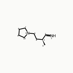 C[C@H](C=N)CCN1CCCC1